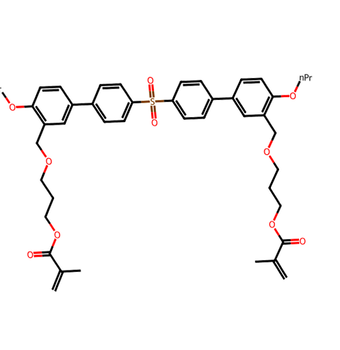 C=C(C)C(=O)OCCCOCc1cc(-c2ccc(S(=O)(=O)c3ccc(-c4ccc(OC(C)C)c(COCCCOC(=O)C(=C)C)c4)cc3)cc2)ccc1OCCC